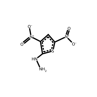 NNc1sc([N+](=O)[O-])cc1[N+](=O)[O-]